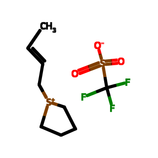 CC=CC[S+]1CCCC1.O=S(=O)([O-])C(F)(F)F